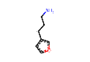 NCC[CH]c1ccoc1